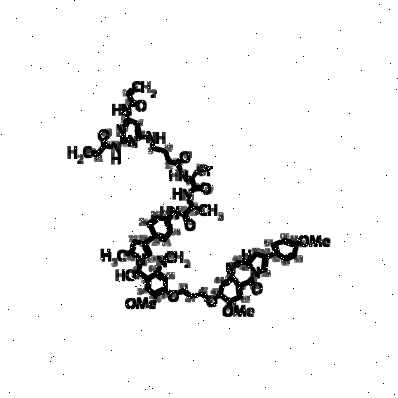 C=CC(=O)Nc1cc(NCCCC(=O)N[C@H](C(=O)N[C@@H](C)C(=O)Nc2ccc(C3=CN(C(O)c4cc(OC)c(OCCCOC5C=C6N=C[C@@H]7CC(c8ccc(OC)cc8)=CN7C(=O)C6=CC5OC)cc4N=C)C(C)C3)cc2)C(C)C)nc(NC(=O)C=C)n1